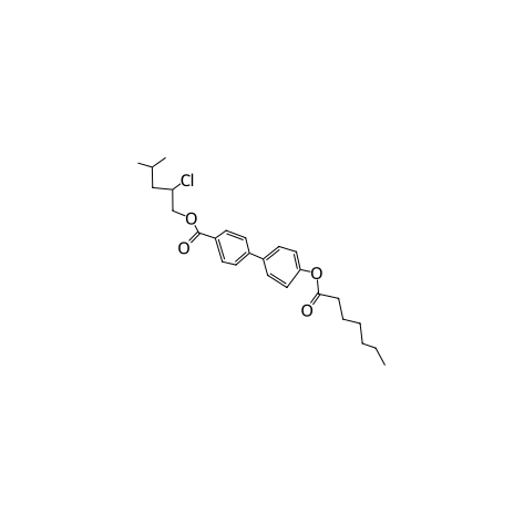 CCCCCCC(=O)Oc1ccc(-c2ccc(C(=O)OCC(Cl)CC(C)C)cc2)cc1